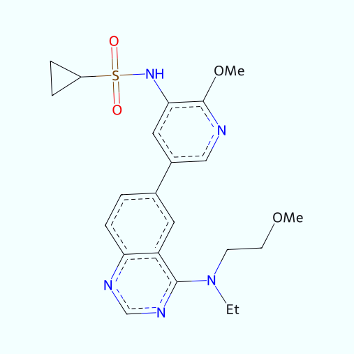 CCN(CCOC)c1ncnc2ccc(-c3cnc(OC)c(NS(=O)(=O)C4CC4)c3)cc12